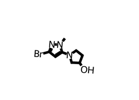 Cn1nc(Br)cc1N1CCC(O)C1